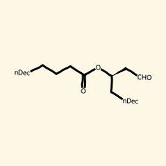 CCCCCCCCCCCCCC(=O)O[C@@H](CC=O)CCCCCCCCCCC